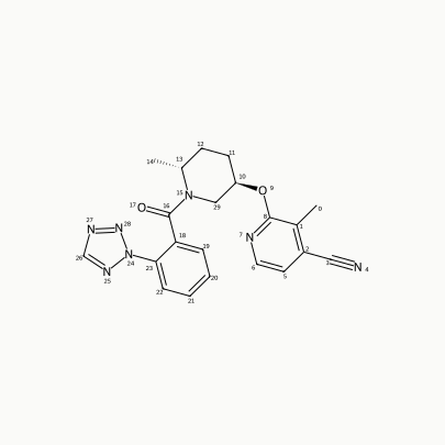 Cc1c(C#N)ccnc1O[C@@H]1CC[C@@H](C)N(C(=O)c2ccccc2-n2ncnn2)C1